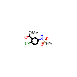 CCCS(=O)(=O)Nc1ccc(Cl)c(C(=O)OC)c1